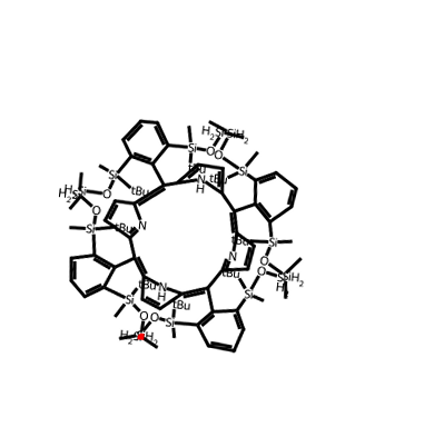 C[SiH2]O[Si](C)(c1cccc([Si](C)(O[SiH2]C)C(C)(C)C)c1-c1c2nc(c(-c3c([Si](C)(O[SiH2]C)C(C)(C)C)cccc3[Si](C)(O[SiH2]C)C(C)(C)C)c3ccc([nH]3)c(-c3c([Si](C)(O[SiH2]C)C(C)(C)C)cccc3[Si](C)(O[SiH2]C)C(C)(C)C)c3nc(c(-c4c([Si](C)(O[SiH2]C)C(C)(C)C)cccc4[Si](C)(O[SiH2]C)C(C)(C)C)c4ccc1[nH]4)C=C3)C=C2)C(C)(C)C